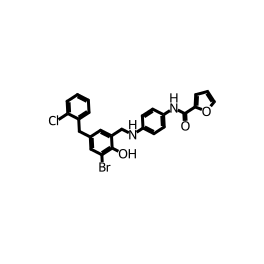 O=C(Nc1ccc(NCc2cc(Cc3ccccc3Cl)cc(Br)c2O)cc1)c1ccco1